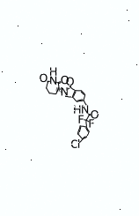 O=C1CCC[C@@H](N2Cc3cc(CNC(=O)C(F)(F)c4ccc(Cl)cc4)ccc3C2=O)C(=O)N1